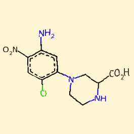 Nc1cc(N2CCNC(C(=O)O)C2)c(Cl)cc1[N+](=O)[O-]